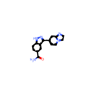 NC(=O)c1ccc2[nH]nc(-c3ccn4ccnc4c3)c2c1